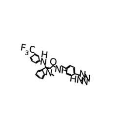 Cn1c(C(=O)NCc2ccc(-c3nnn[nH]3)cc2)c(Nc2cccc(C(F)(F)F)c2)c2ccccc21